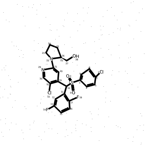 O=S(=O)(c1ccc(Cl)cc1)C(c1cc(F)ccc1F)c1cc(N2CCC[C@H]2CO)ncc1Cl